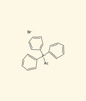 CC(=O)[P+](c1ccccc1)(c1ccccc1)c1ccccc1.[Br-]